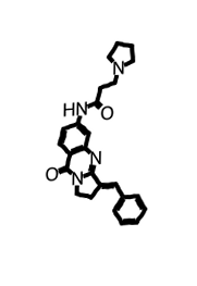 O=C(CCN1CCCC1)Nc1ccc2c(=O)n3c(nc2c1)C(=Cc1ccccc1)CC3